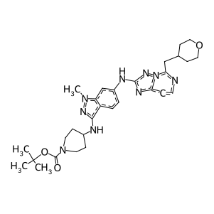 Cn1nc(NC2CCN(C(=O)OC(C)(C)C)CC2)c2ccc(Nc3nc4ccnc(CC5CCOCC5)n4n3)cc21